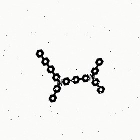 c1ccc(-c2ccc(-c3ccc(-c4ccc(N(c5ccc(-c6ccccc6)cc5)c5ccc(-c6ccc(-c7ccc(N(c8ccc(-c9ccccc9)cc8)c8ccc(-c9ccccc9)cc8)cc7)cc6)cc5)cc4)cc3)cc2)cc1